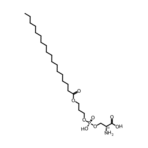 CCCCCCCCCCCCCCCCCC(=O)OCCCOP(=O)(O)OC[C@H](N)C(=O)O